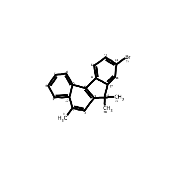 Cc1cc2c(c3ccccc13)-c1ccc(Br)cc1C2(C)C